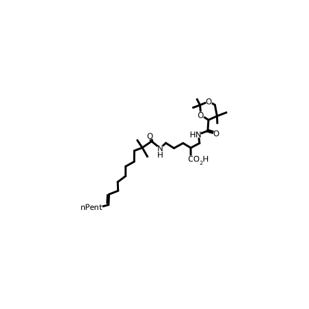 CCCCCC=CCCCCCCC(C)(C)C(=O)NCCCC(CNC(=O)C1OC(C)(C)OCC1(C)C)C(=O)O